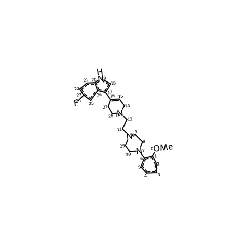 COc1ccccc1N1CCN(CCN2CC=C(c3c[nH]c4ccc(F)cc34)CC2)CC1